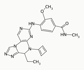 CCC1c2nncn2-c2cnc(Nc3ccc(C(=O)NC)cc3OC)nc2N1C1=CC=C1